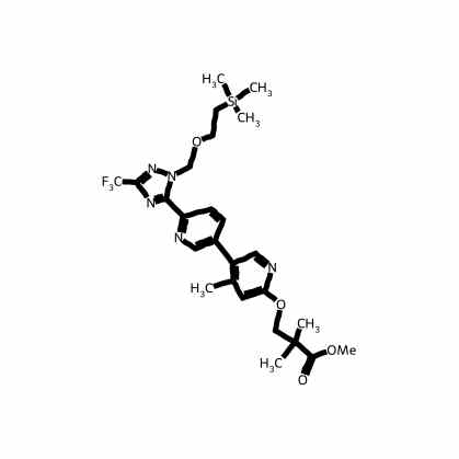 COC(=O)C(C)(C)COc1cc(C)c(-c2ccc(-c3nc(C(F)(F)F)nn3COCC[Si](C)(C)C)nc2)cn1